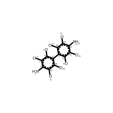 Nc1c(Cl)c(Cl)c(-c2c(Cl)c(Cl)c(N)c(Cl)c2Cl)c(Cl)c1Cl